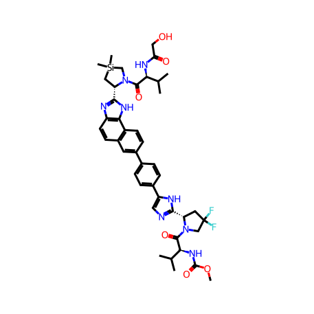 COC(=O)N[C@H](C(=O)N1CC(F)(F)C[C@H]1c1ncc(-c2ccc(-c3ccc4c(ccc5nc([C@@H]6C[Si](C)(C)CN6C(=O)[C@@H](NC(=O)CO)C(C)C)[nH]c54)c3)cc2)[nH]1)C(C)C